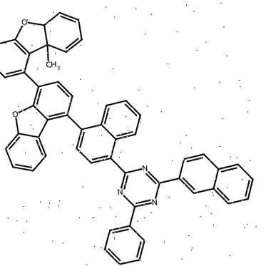 CC12C=CC=CC1Oc1cccc(-c3ccc(-c4ccc(-c5nc(-c6ccccc6)nc(-c6ccc7ccccc7c6)n5)c5ccccc45)c4c3oc3ccccc34)c12